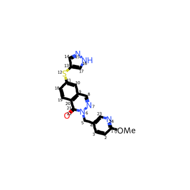 COc1ccc(Cn2ncc3cc(Sc4cn[nH]c4)ccc3c2=O)cn1